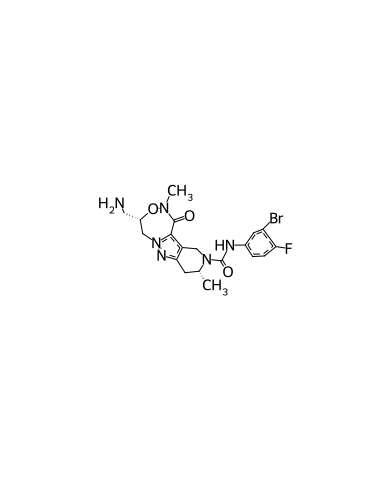 C[C@@H]1Cc2nn3c(c2CN1C(=O)Nc1ccc(F)c(Br)c1)C(=O)N(C)O[C@@H](CN)C3